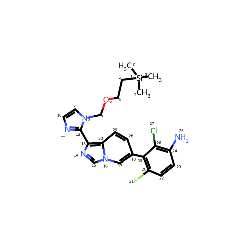 C[Si](C)(C)CCOCn1ccnc1-c1ncn2cc(-c3c(F)ccc(N)c3Cl)ccc12